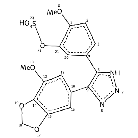 COc1ccc(-c2[nH]nnc2-c2cc(OC)c3c(c2)OCO3)cc1OS(=O)(=O)O